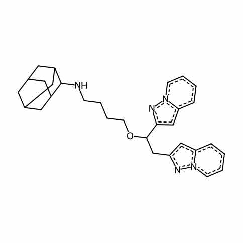 c1ccn2nc(CC(OCCCCNC3C4CC5CC(C4)CC3C5)c3cc4ccccn4n3)cc2c1